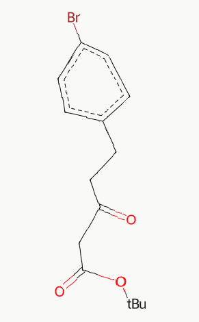 CC(C)(C)OC(=O)CC(=O)CCc1ccc(Br)cc1